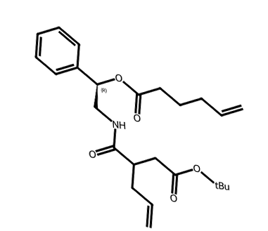 C=CCCCC(=O)O[C@@H](CNC(=O)C(CC=C)CC(=O)OC(C)(C)C)c1ccccc1